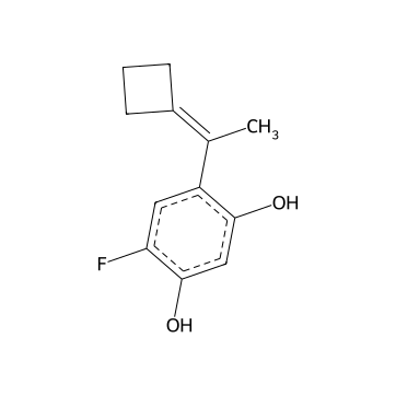 CC(=C1CCC1)c1cc(F)c(O)cc1O